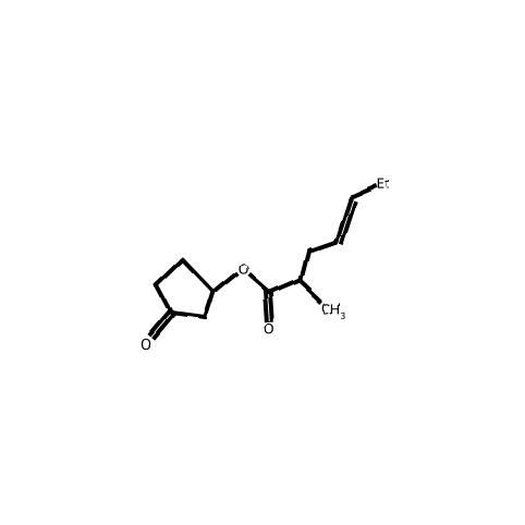 CCC=CCC(C)C(=O)OC1CCC(=O)C1